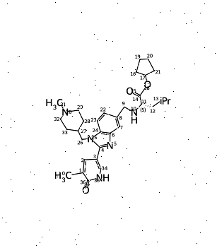 Cc1cc(-c2nc3cc(CN[C@@H](CC(C)C)C(=O)OC4CCCC4)ccc3n2CC2CCN(C)CC2)c[nH]c1=O